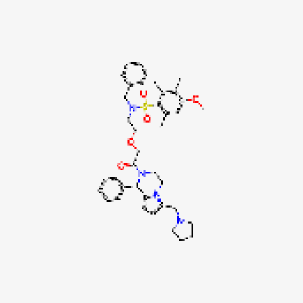 COc1cc(C)c(S(=O)(=O)N(CCOCC(=O)N2CCn3c(CN4CCCC4)ccc3C2c2ccccc2)Cc2ccccc2)c(C)c1C